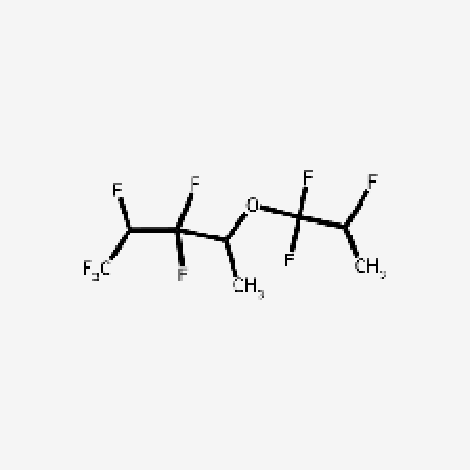 CC(F)C(F)(F)OC(C)C(F)(F)C(F)C(F)(F)F